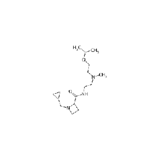 CC(C)OCCN(C)CCNC(=O)C1CCN1CC1CC1